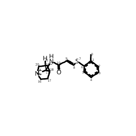 Cc1ccccc1SC=CC(=O)N[C@H]1CN2CCC1CC2